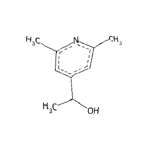 Cc1cc(C(C)O)cc(C)n1